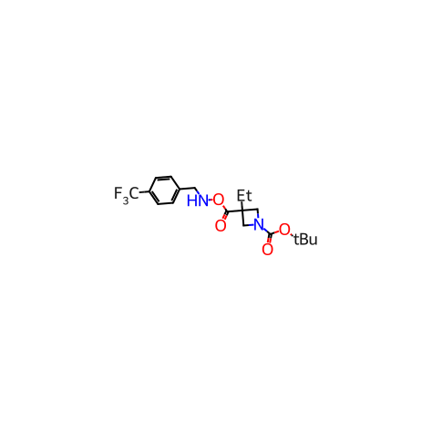 CCC1(C(=O)ONCc2ccc(C(F)(F)F)cc2)CN(C(=O)OC(C)(C)C)C1